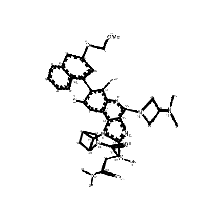 COCOc1cc(-c2c(Cl)cc3c(nc(N4CC(N(C)C)C4)c4nc(CCC(=O)N(C)C)n(C5C6CC5N(C(=O)OC(C)(C)C)C6)c43)c2F)c2ccccc2c1